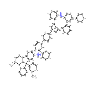 CC1C=C(C2(c3ccccc3)C3=C(C=CC(C)C3)c3ccc(NC4(c5ccccc5)C=C(c5ccc(-c6cc7cc(c6)-c6ccccc6-c6cc(-c8ccccc8)ccc6Nc6ccccc6-7)cc5)C=CC4)cc32)C=CC1